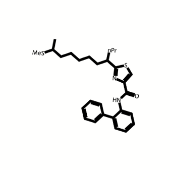 CCCC(CCCCCC(C)SC)c1nc(C(=O)Nc2ccccc2-c2ccccc2)cs1